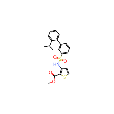 COC(=O)c1sccc1NS(=O)(=O)c1cccc(-c2ccccc2C(C)C)c1